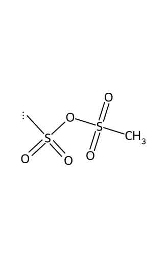 [C]S(=O)(=O)OS(C)(=O)=O